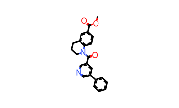 COC(=O)c1ccc2c(c1)CCCN2C(=O)c1cncc(-c2ccccc2)c1